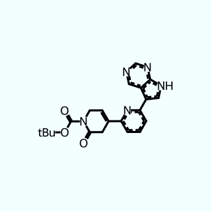 CC(C)(C)OC(=O)N1CC=C(c2cccc(-c3c[nH]c4ncncc34)n2)CC1=O